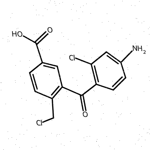 Nc1ccc(C(=O)c2cc(C(=O)O)ccc2CCl)c(Cl)c1